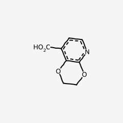 O=C(O)c1ccnc2c1OCCO2